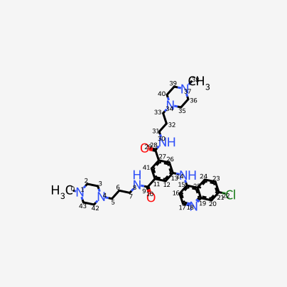 CN1CCN(CCCNC(=O)c2cc(Nc3ccnc4cc(Cl)ccc34)cc(C(=O)NCCCN3CCN(C)CC3)c2)CC1